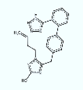 C=CCCn1nc(O)nc1Cc1ccc(-c2ccccc2-c2nnn[nH]2)cc1